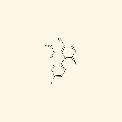 COC(=O)c1c(C)ccc(=O)n1-c1ccc(F)cc1